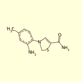 Cc1ccc(N2C=C(C(N)=O)SC2)c(N)c1